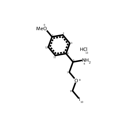 COc1ccc(C(N)COCI)cc1.Cl